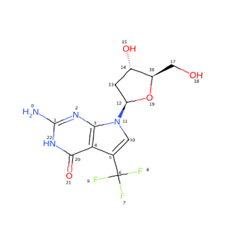 Nc1nc2c(c(C(F)(F)F)cn2[C@H]2C[C@H](O)[C@@H](CO)O2)c(=O)[nH]1